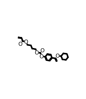 C=CC(=O)OCCCCOC(=O)Oc1ccc(C(=C)OC2CCCCC2)cc1